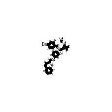 CC1(C)C(OC=O)C1c1nc2cc(OCc3ccc4ccccc4n3)ccc2n1Cc1ccc(Br)cc1F